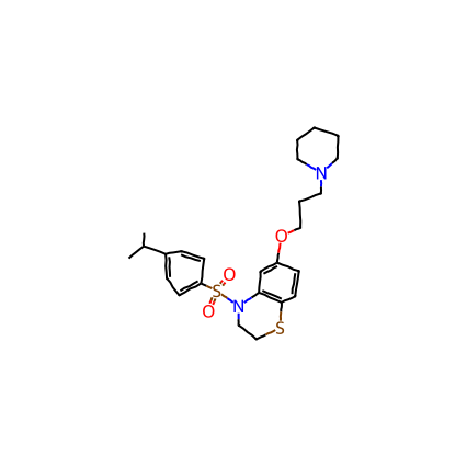 CC(C)c1ccc(S(=O)(=O)N2CCSc3ccc(OCCCN4CCCCC4)cc32)cc1